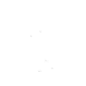 CCCCc1nc2ccccc2n1Cc1ccc2c(c1)nc(-c1ccccc1)n2CC(=O)OCC